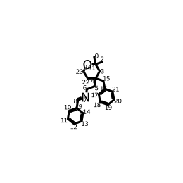 CC1(C)CC(CC/N=C/c2ccccc2)(Cc2ccccc2)CCO1